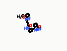 COC1CCCCC1NCCCCC(=O)Nc1cccc(-c2n[nH]c(=O)c3ccccc23)c1